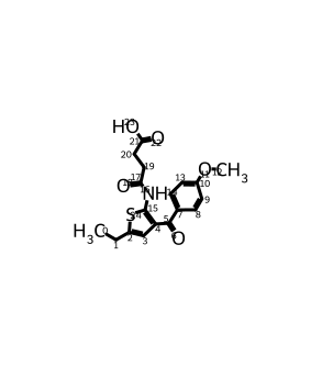 CCc1cc(C(=O)c2ccc(OC)cc2)c(NC(=O)CCC(=O)O)s1